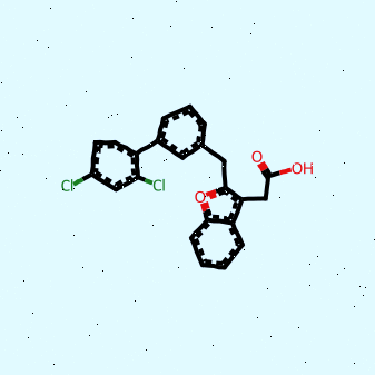 O=C(O)Cc1c(Cc2cccc(-c3ccc(Cl)cc3Cl)c2)oc2ccccc12